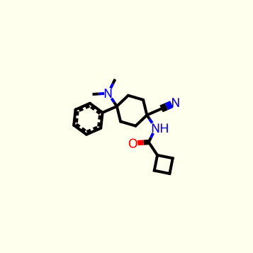 CN(C)C1(c2ccccc2)CCC(C#N)(NC(=O)C2CCC2)CC1